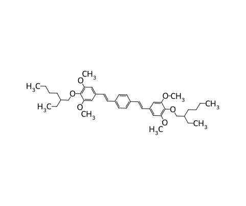 CCCCC(CC)COc1c(OC)cc(/C=C/c2ccc(/C=C/c3cc(OC)c(OCC(CC)CCCC)c(OC)c3)cc2)cc1OC